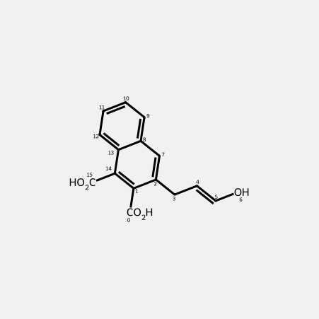 O=C(O)c1c(CC=CO)cc2ccccc2c1C(=O)O